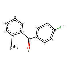 O=C(c1ccc(F)cc1)c1ccccc1[AsH2]